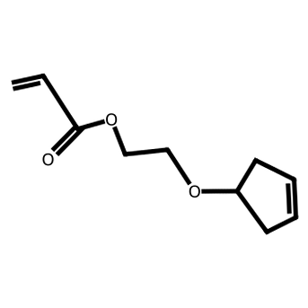 C=CC(=O)OCCOC1CC=CC1